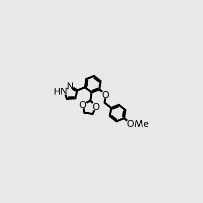 COc1ccc(COc2cccc(-c3cc[nH]n3)c2C2OCCO2)cc1